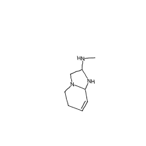 CNC1CN2CCC=CC2N1